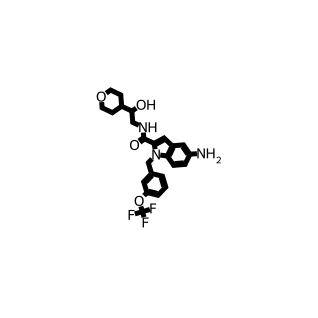 Nc1ccc2c(c1)cc(C(=O)NCC(O)C1CCOCC1)n2Cc1cccc(OC(F)(F)F)c1